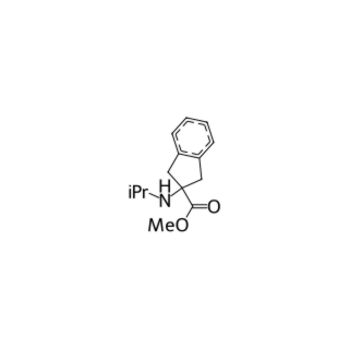 COC(=O)C1(NC(C)C)Cc2ccccc2C1